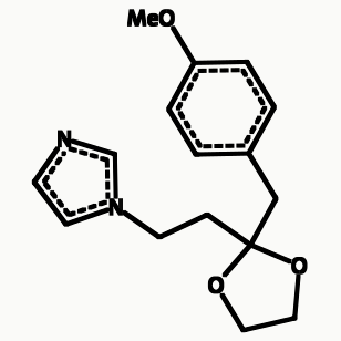 COc1ccc(CC2(CCn3ccnc3)OCCO2)cc1